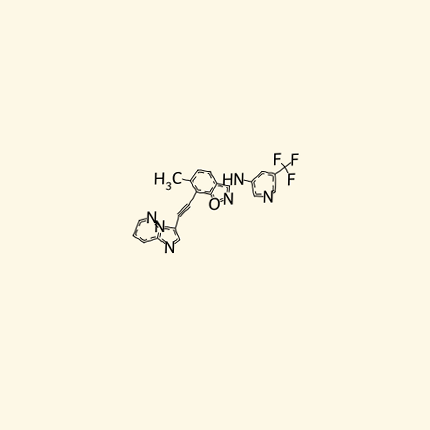 Cc1ccc2c(Nc3cncc(C(F)(F)F)c3)noc2c1C#Cc1cnc2cccnn12